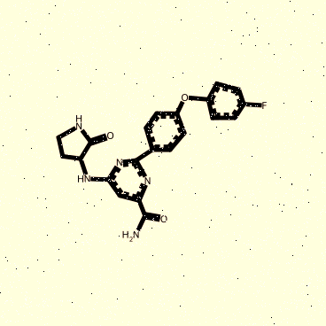 NC(=O)c1cc(NC2CCNC2=O)nc(-c2ccc(Oc3ccc(F)cc3)cc2)n1